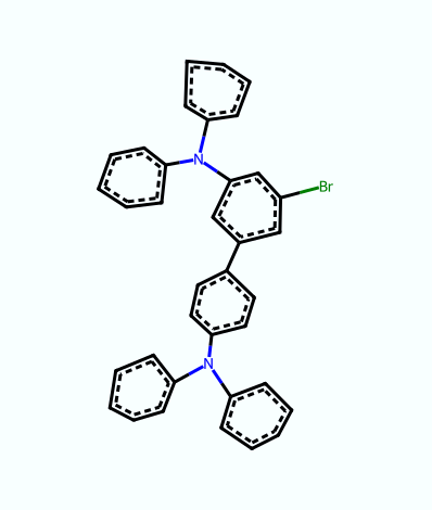 Brc1cc(-c2ccc(N(c3ccccc3)c3ccccc3)cc2)cc(N(c2ccccc2)c2ccccc2)c1